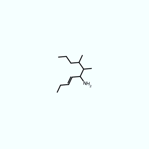 CCC=CC(N)C(C)C(C)CCC